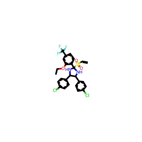 C=CS(=O)(=O)C1(c2ccc(C(F)(F)F)cc2OCC)NC(c2ccc(Cl)cc2)C(c2ccc(Cl)cc2)N1